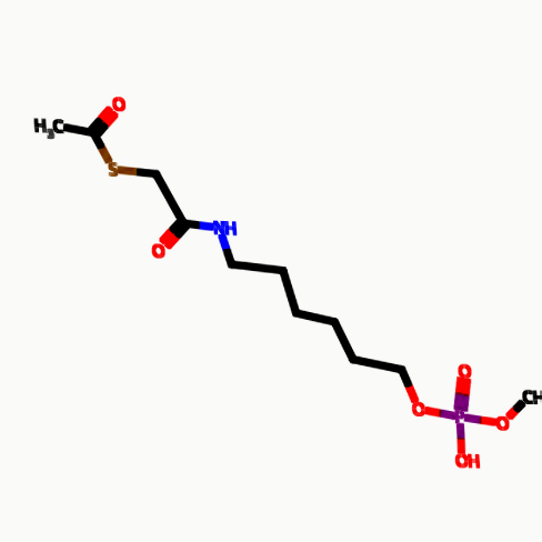 COP(=O)(O)OCCCCCCNC(=O)CSC(C)=O